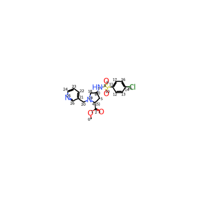 COC(=O)[C@@H]1C[C@@H](NS(=O)(=O)c2ccc(Cl)cc2)CN1Cc1cccnc1